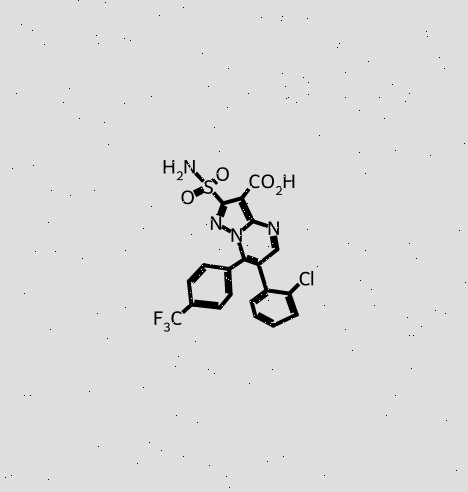 NS(=O)(=O)c1nn2c(-c3ccc(C(F)(F)F)cc3)c(-c3ccccc3Cl)cnc2c1C(=O)O